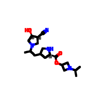 CC(C)N1CC(OC(=O)[C@@H]2CC(CC(C)N3C[C@H](O)[C@@H](C#N)C3)CN2)C1